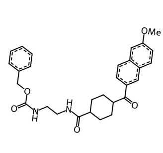 COc1ccc2cc(C(=O)C3CCC(C(=O)NCCNC(=O)OCc4ccccc4)CC3)ccc2c1